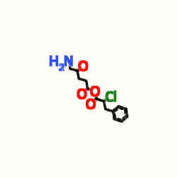 NCC(=O)CCC(=O)OC(=O)C(Cl)Cc1ccccc1